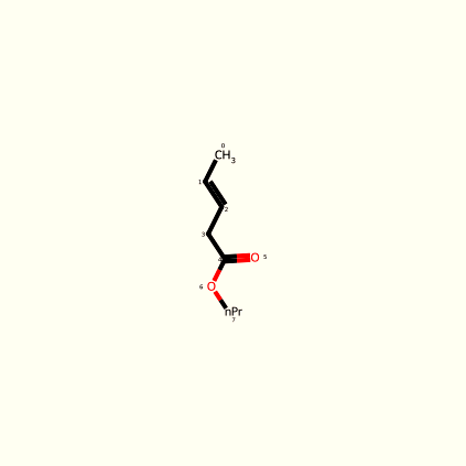 CC=CCC(=O)OCCC